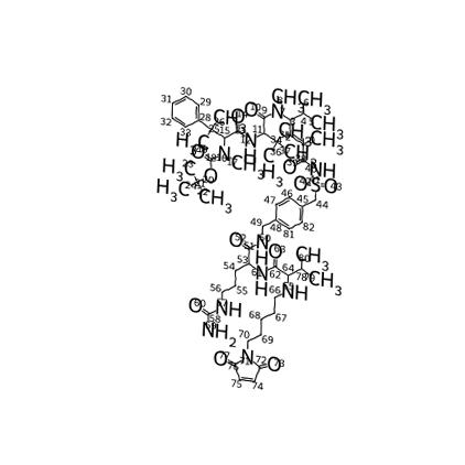 C/C(=C\C(C(C)C)N(C)C(=O)C(NC(=O)C(N(C)C(=O)OC(C)(C)C)C(C)(C)c1ccccc1)C(C)(C)C)C(=O)NS(=O)(=O)Cc1ccc(CNC(=O)C(CCCNC(N)=O)NC(=O)C(NCCCCCN2C(=O)C=CC2=O)C(C)C)cc1